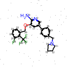 Nc1ncc(-c2ccc([CH]N3CCCC3)cc2)cc1OCc1cccc(F)c1C(F)(F)F